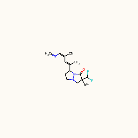 C=N/C=C(C#N)\C=C(/C)C1CCN2CC(CCC)(C(F)F)C(=O)N12